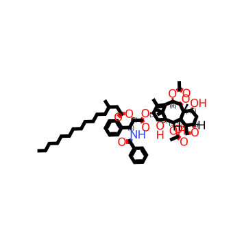 CCCCCCCCCCCCC(C)CC(=O)O[C@@H](C(=O)O[C@H]1C[C@@]2(O)[C@@H](O)[C@@H]3[C@]4(OC(C)=O)CO[C@@H]4C[C@H](O)[C@@]3(C)C(=O)[C@H](OC(C)=O)C(=C1C)C2(C)C)[C@@H](NC(=O)c1ccccc1)c1ccccc1